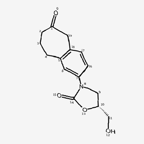 O=C1CCCc2cc(N3C[C@H](CO)OC3=O)ccc2C1